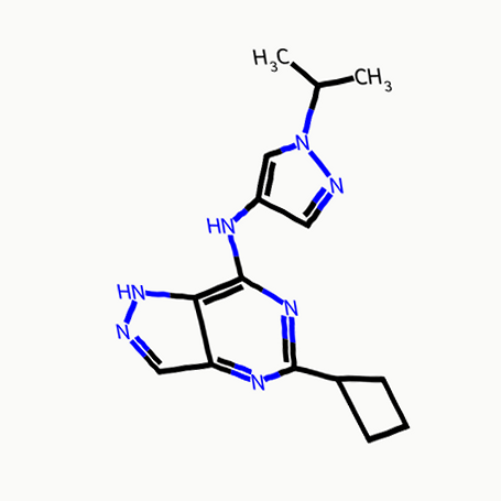 CC(C)n1cc(Nc2nc(C3CCC3)nc3cn[nH]c23)cn1